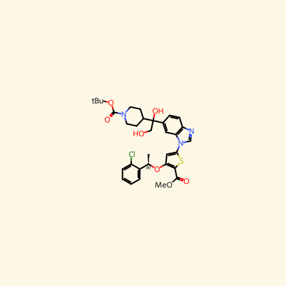 COC(=O)c1sc(-n2cnc3ccc(C(O)(CO)C4CCN(C(=O)OC(C)(C)C)CC4)cc32)cc1O[C@H](C)c1ccccc1Cl